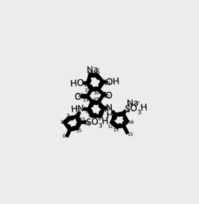 Cc1ccc(Nc2ccc(Nc3ccc(C)cc3S(=O)(=O)O)c3c2C(=O)c2c(O)ccc(O)c2C3=O)c(S(=O)(=O)O)c1.[Na].[Na]